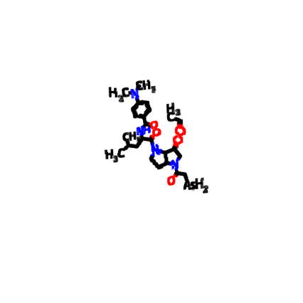 CC(C)CC(NC(=O)c1ccc(N(C)C)cc1)C(=O)N1CCC2C1C(=O)CN2C(=O)C[AsH2].CC=O